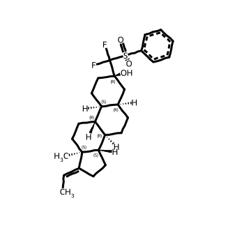 CC=C1CC[C@H]2[C@@H]3CC[C@@H]4C[C@@](O)(C(F)(F)S(=O)(=O)c5ccccc5)CC[C@@H]4[C@H]3CC[C@]12C